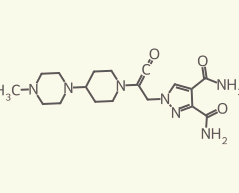 CN1CCN(C2CCN(C(=C=O)Cn3cc(C(N)=O)c(C(N)=O)n3)CC2)CC1